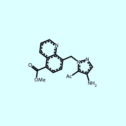 COC(=O)c1ccc(Cn2ncc(N)c2C(C)=O)c2ncccc12